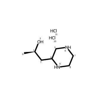 C[C@@H](O)CC1CNCCN1.Cl.Cl